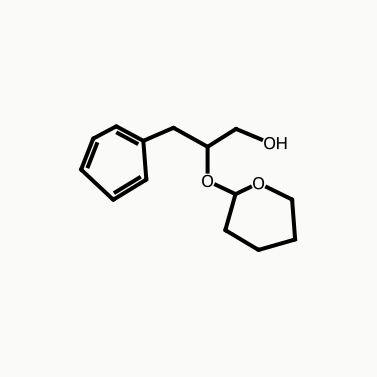 OCC(Cc1ccccc1)OC1CCCCO1